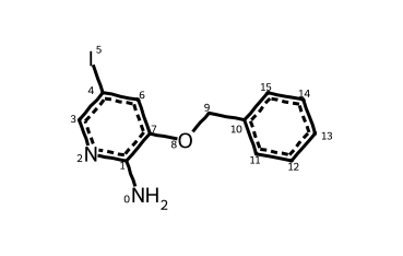 Nc1ncc(I)cc1OCc1ccccc1